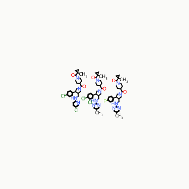 CC1(C(=O)N2CCC(C(=O)N3CC(CNc4ccc(Cl)cn4)C(c4ccc(Cl)cc4)C3)CC2)CC1.CC1(C(=O)N2CCC(C(=O)N3CC(CNc4ncc(C(F)(F)F)cn4)C(c4ccc(Cl)c(Cl)c4)C3)CC2)CC1.CC1(C(=O)N2CCC(C(=O)N3CC(CNc4ncc(C(F)(F)F)cn4)C(c4ccc(F)cc4)C3)CC2)CC1